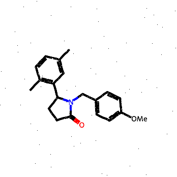 COc1ccc(CN2C(=O)CCC2c2cc(C)ccc2C)cc1